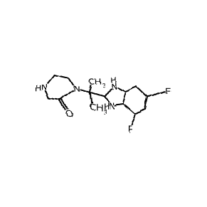 CC(C)(C1NC2CC(F)CC(F)C2N1)N1CCNCC1=O